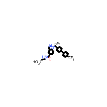 CCCC(c1ccc(-c2ccc(C(F)(F)F)cc2)cc1)n1ncc2cc(C(=O)NCCC(=O)O)ccc21